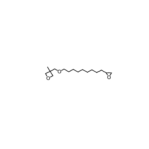 CC1(COCCCCCCCCCC2CO2)COC1